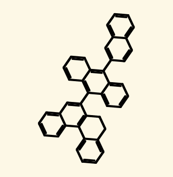 c1ccc2c(c1)CCc1c(-c3c4ccccc4c(-c4ccc5ccccc5c4)c4ccccc34)cc3ccccc3c1-2